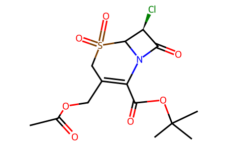 CC(=O)OCC1=C(C(=O)OC(C)(C)C)N2C(=O)[C@H](Cl)C2S(=O)(=O)C1